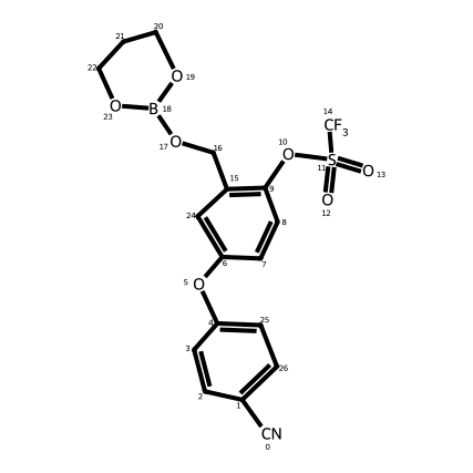 N#Cc1ccc(Oc2ccc(OS(=O)(=O)C(F)(F)F)c(COB3OCCCO3)c2)cc1